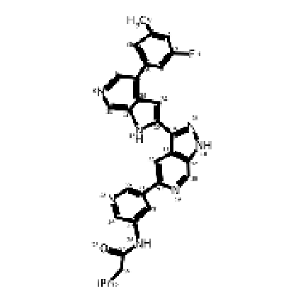 Cc1cc(F)cc(-c2cncc3[nH]c(-c4n[nH]c5cnc(-c6cncc(NC(=O)CC(C)C)c6)cc45)cc23)c1